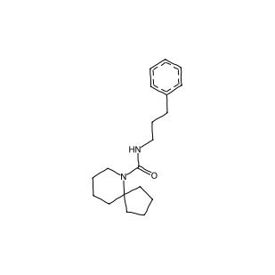 O=C(NCCCc1ccccc1)N1CCCCC12CCCC2